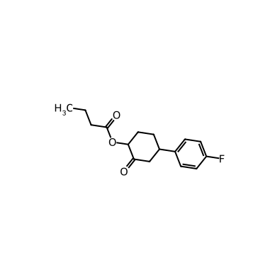 CCCC(=O)OC1CCC(c2ccc(F)cc2)CC1=O